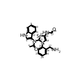 CC(=O)N(c1c[nH]c2ccccc12)C1[Se]C(NC=O)=CN1c1ccccc1CN